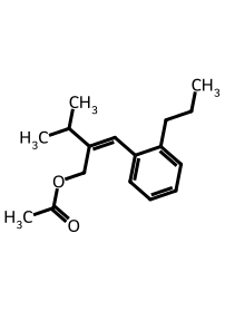 CCCc1ccccc1C=C(COC(C)=O)C(C)C